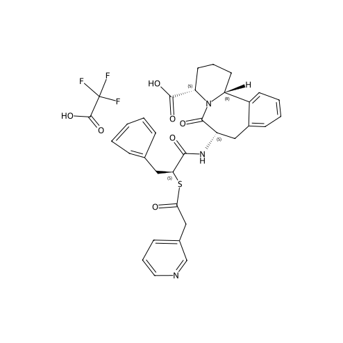 O=C(Cc1cccnc1)S[C@@H](Cc1ccccc1)C(=O)N[C@H]1Cc2ccccc2[C@H]2CCC[C@@H](C(=O)O)N2C1=O.O=C(O)C(F)(F)F